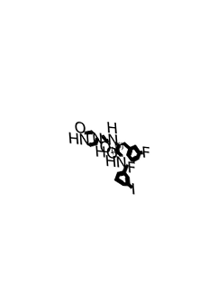 O=C1CN(CC(=O)N[C@@H](Cc2cc(F)cc(F)c2)[C@@H](O)CNCc2cccc(I)c2)CCN1